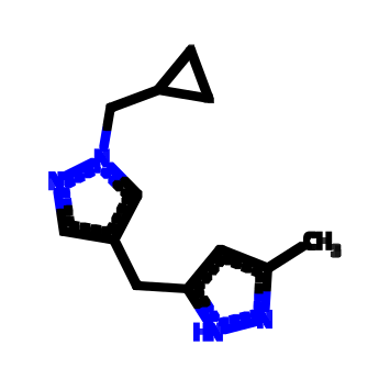 Cc1cc(Cc2cnn(CC3CC3)c2)[nH]n1